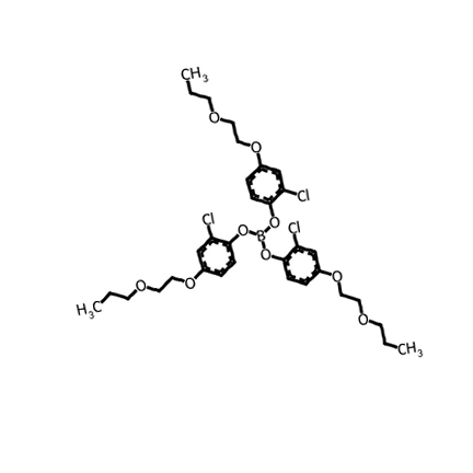 CCCOCCOc1ccc(OB(Oc2ccc(OCCOCCC)cc2Cl)Oc2ccc(OCCOCCC)cc2Cl)c(Cl)c1